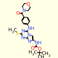 CSc1nc(Nc2ccc(C(=O)N3CCOCC3)cc2)n2cc(NC(=O)OC(C)(C)C)nc2n1